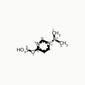 CN(C)[n+]1ccc(OS(=O)(=O)O)nc1